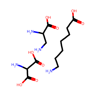 NC(C(=O)O)C(=O)O.NCC(N)C(=O)O.NCCCCCCC(=O)O